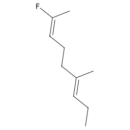 CC/C=C(\C)CC/C=C(\C)F